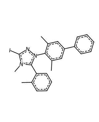 Cc1ccccc1-c1n(-c2c(C)cc(-c3ccccc3)cc2C)nc(I)[n+]1C